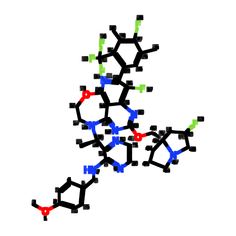 COc1ccc(CNc2nccnc2[C@@H](C)N2CCOc3nc(-c4cc(C)c(F)c(C)c4C(F)(F)F)c(F)c4nc(OC[C@@]56CCCN5C[C@H](F)C6)nc2c34)cc1